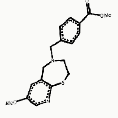 COC(=O)c1ccc(CN2CCSc3ncc(OC)cc3C2)cc1